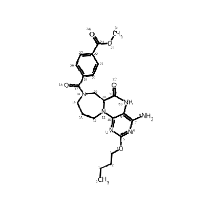 CCCCOc1nc(N)c2c(n1)N1CCCN(C(=O)c3ccc(C(=O)OC)cc3)CC1C(=O)N2